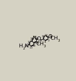 COc1ccc(COc2ncc3cc(N)ccc3c2C)cc1